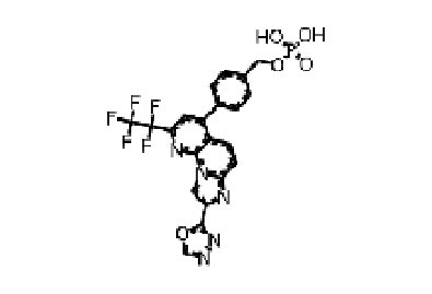 O=P(O)(O)OCc1ccc(-c2cc(C(F)(F)C(F)(F)F)nc3c2ccc2nc(-c4nnco4)cn23)cc1